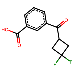 O=C(O)c1cccc(C(=O)C2CC(F)(F)C2)c1